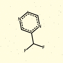 FC(F)c1cn[c]cn1